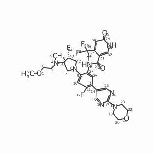 COCCN(C)[C@@H]1CN(c2cc(F)c(-c3cnc(N4CCOCC4)nc3)cc2NC(=O)c2c[nH]c(=O)cc2C(F)(F)F)C[C@H]1F